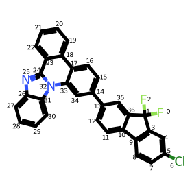 FC1(F)c2cc(Cl)ccc2-c2ccc(-c3ccc4c5ccccc5c5nc6ccccc6n5c4c3)cc21